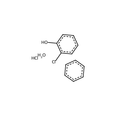 Cl.O.Oc1ccccc1Cl.c1ccccc1